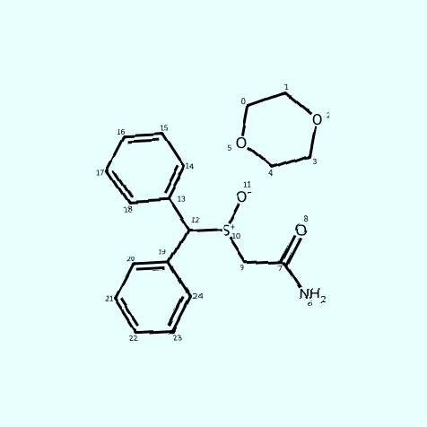 C1COCCO1.NC(=O)C[S+]([O-])C(c1ccccc1)c1ccccc1